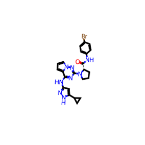 O=C(Nc1ccc(Br)cc1)[C@@H]1CCCN1c1nc(Nc2cc(C3CC3)[nH]n2)c2cccn2n1